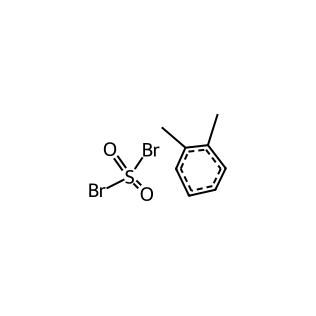 Cc1ccccc1C.O=S(=O)(Br)Br